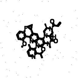 C=CC(=O)N1C[C@@H]2C(=O)N(C)c3c(c4cc(C5CC5)c(-c5c(F)cccc5OC)nc4n(-c4c(C)ccnc4C(C)C)c3=O)N2C[C@H]1C